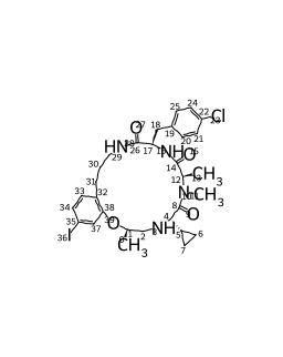 C[C@@H]1CN[C@@H](C2CC2)C(=O)N(C)[C@H](C)C(=O)N[C@H](Cc2ccc(Cl)cc2)C(=O)NCCCc2ccc(I)cc2O1